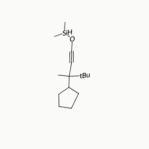 C[SiH](C)OC#CC(C)(C1CCCC1)C(C)(C)C